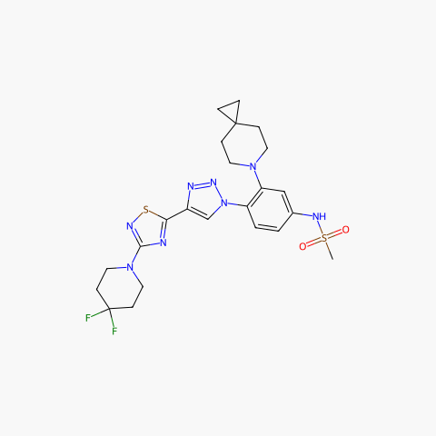 CS(=O)(=O)Nc1ccc(-n2cc(-c3nc(N4CCC(F)(F)CC4)ns3)nn2)c(N2CCC3(CC2)CC3)c1